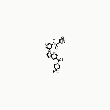 Cn1cc(C(=O)Nc2cncc(-n3ccc4cc(C(=O)N5CCC(F)(F)CC5)cnc43)c2)cn1